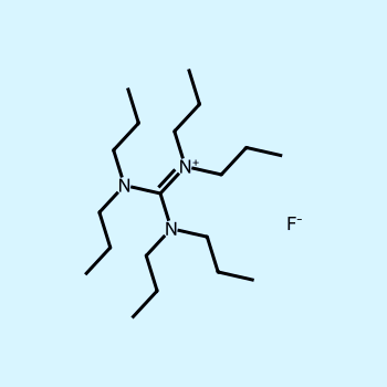 CCCN(CCC)C(N(CCC)CCC)=[N+](CCC)CCC.[F-]